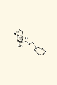 O[C@H]1C[C@H]2CC[C@@H](C1)[C@H]2OCOCc1ccccc1